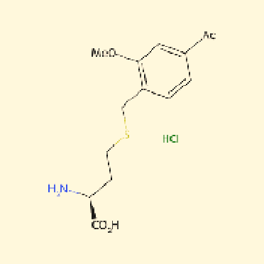 COc1cc(C(C)=O)ccc1CSCC[C@H](N)C(=O)O.Cl